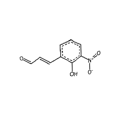 O=CC=Cc1cccc([N+](=O)[O-])c1O